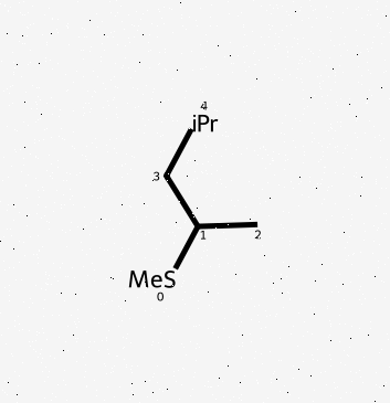 [CH2]SC(C)CC(C)C